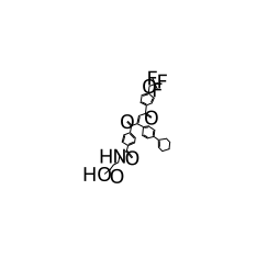 O=C(O)CCNC(=O)c1ccc(C(=O)C(=CC(=O)c2ccc(OC(F)(F)F)cc2)c2ccc(C3=CCCCC3)cc2)cc1